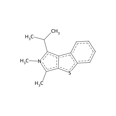 Cc1c2sc3ccccc3c2c(C(C)C)n1C